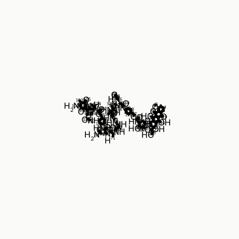 COc1cccc2c1C(=O)c1c(O)c3c(c(O)c1C2=O)C[C@@](O)(C(=O)CO)C[C@@H]3O[C@H]1CC(NC(=O)OCc2ccc(NC(=O)[C@@H](CNC=O)NN[C@@H](C)C(=O)NC(C)C(=O)NCNN[C@@H](C)C(=O)NC(C)C(=O)N[C@H](CC(N)=O)C(=O)Nc3ccc(COC(=O)N4C5[C@@H]4CN4C6=C(C(=O)C(N)=C(C)C6=O)[C@@H](COC(N)=O)[C@@]54OC)cc3)cc2)[C@H](O)[C@H](C)O1